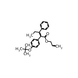 C=CCOC(=O)C(=C(CC)c1ccccc1)c1ccc(OC(C)(C)C)cc1